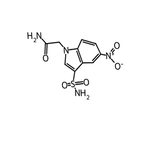 NC(=O)Cn1cc(S(N)(=O)=O)c2cc([N+](=O)[O-])ccc21